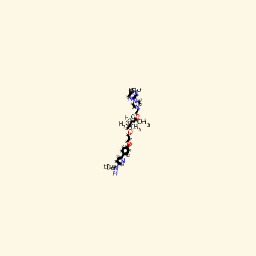 CC(C)(CCC(C)(C)OCCN1CCN(c2cnc(C(C)(C)C)cn2)CC1)COCCCOc1ccc(-c2ccc(NC(C)(C)C)cn2)cc1